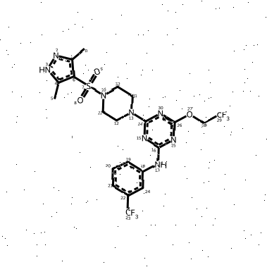 Cc1n[nH]c(C)c1S(=O)(=O)N1CCN(c2nc(Nc3cccc(C(F)(F)F)c3)nc(OCC(F)(F)F)n2)CC1